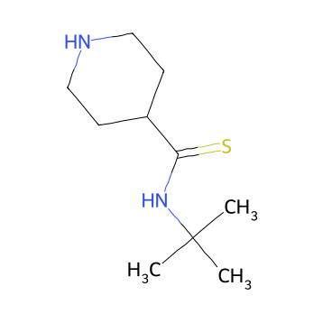 CC(C)(C)NC(=S)C1CCNCC1